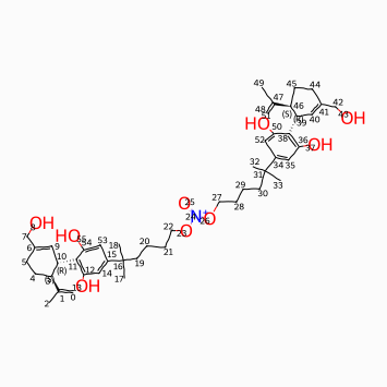 C=C(C)[C@H]1CCC(CO)=C[C@@H]1c1c(O)cc(C(C)(C)CCCCO[N+](=O)OCCCCC(C)(C)c2cc(O)c([C@H]3C=C(CO)CC[C@@H]3C(=C)C)c(O)c2)cc1O